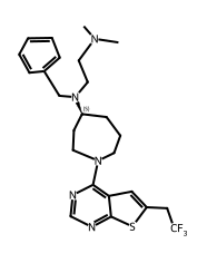 CN(C)CCN(Cc1ccccc1)[C@H]1CCCN(c2ncnc3sc(CC(F)(F)F)cc23)CC1